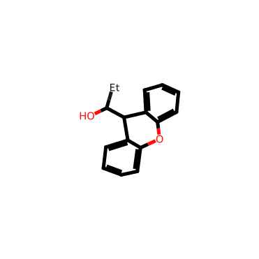 [CH2]CC(O)C1c2ccccc2Oc2ccccc21